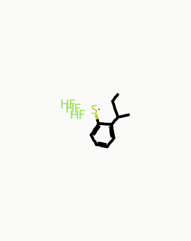 CCC(C)c1ccccc1[S].F.F.F